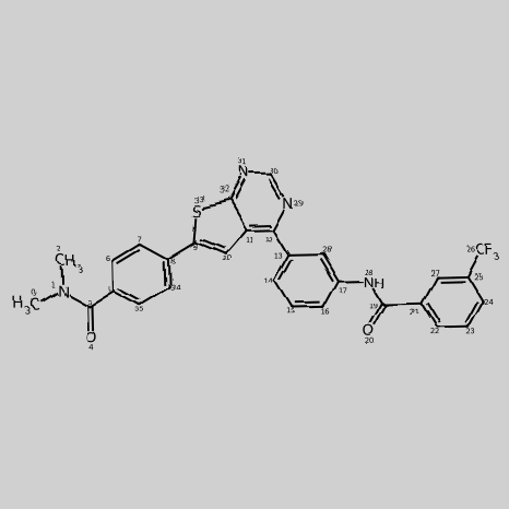 CN(C)C(=O)c1ccc(-c2cc3c(-c4cccc(NC(=O)c5cccc(C(F)(F)F)c5)c4)ncnc3s2)cc1